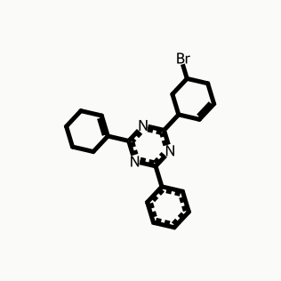 BrC1CC=CC(c2nc(C3=CCCCC3)nc(-c3ccccc3)n2)C1